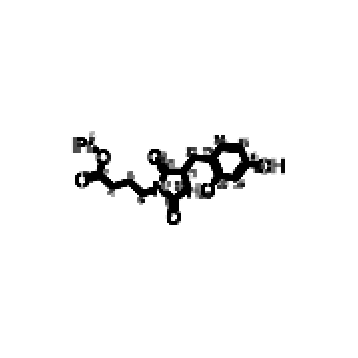 CC(C)OC(=O)CCCN1C(=O)CC(Cc2ccc(O)cc2O)C1=O